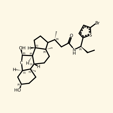 CC[C@@H](NC(=O)C[C@@H](C)C1CC[C@H]2[C@@H]3[C@H](O)C[C@@H]4C[C@H](O)CC[C@]4(C)[C@H]3CC[C@]12C)c1ccc(Br)s1